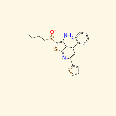 CCCC[S+]([O-])C1=C(N)C2C(=NC(c3cccs3)=CC2c2ccccc2)S1